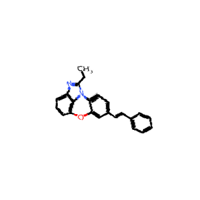 CCc1nc2cccc3c2n1-c1ccc(/C=C/c2ccccc2)cc1O3